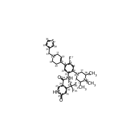 CC1CN(c2cc(F)c(C3=CCN(Cc4ccsc4)CC3)cc2NC(=O)c2c[nH]c(=O)cc2C(F)(F)F)CC(C)N1C